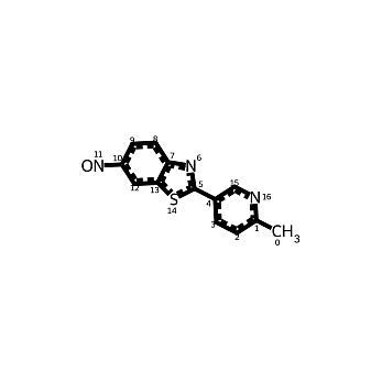 Cc1ccc(-c2nc3ccc(N=O)cc3s2)cn1